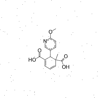 COc1ccc(C2C(C(=O)O)=CC=CC2(C)C(=O)O)cn1